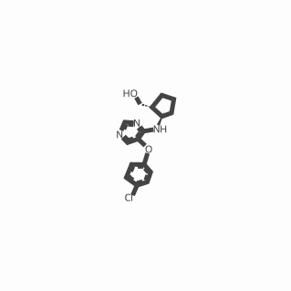 OC[C@@H]1CCC[C@H]1Nc1ncncc1Oc1ccc(Cl)cc1